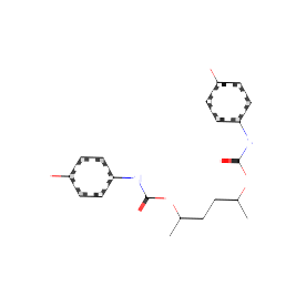 CC(CCC(C)OC(=O)Nc1ccc(O)cc1)OC(=O)Nc1ccc(O)cc1